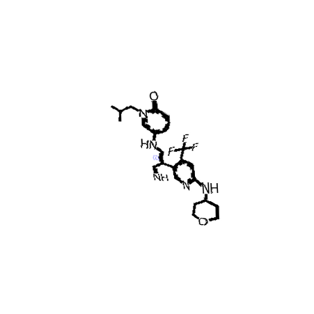 CC(C)Cn1cc(N/C=C(\C=N)c2cnc(NC3CCOCC3)cc2C(F)(F)F)ccc1=O